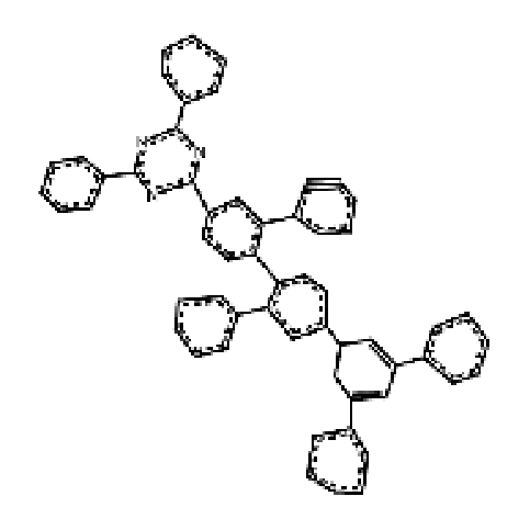 c1cccc(-c2cc(-c3nc(-c4ccccc4)nc(-c4ccccc4)n3)ccc2-c2ccc(C3C=C(c4ccccc4)C=C(c4ccccc4)C3)cc2-c2ccccc2)c#1